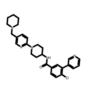 O=C(NC1CCN(c2ccc(CN3CCCCC3)cn2)CC1)c1ccc(Cl)c(-c2cccnc2)c1